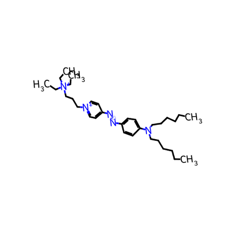 CCCCCCN(CCCCCC)c1ccc(/N=N/c2cc[n+](CCC[N+](CC)(CC)CC)cc2)cc1